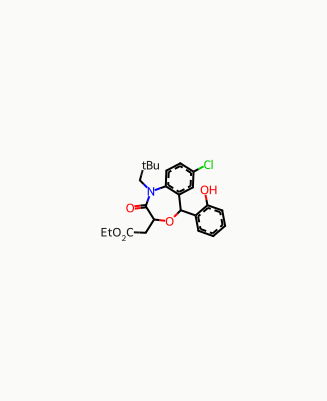 CCOC(=O)CC1OC(c2ccccc2O)c2cc(Cl)ccc2N(CC(C)(C)C)C1=O